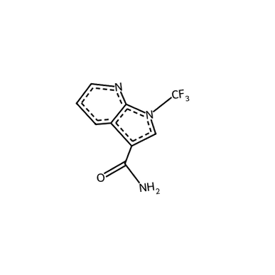 NC(=O)c1cn(C(F)(F)F)c2ncccc12